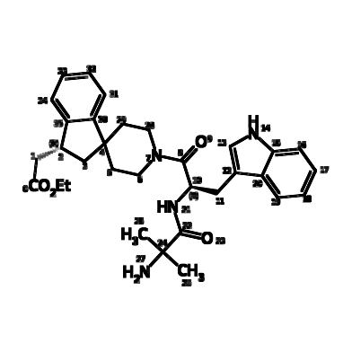 CCOC(=O)C[C@H]1CC2(CCN(C(=O)[C@@H](Cc3c[nH]c4ccccc34)NC(=O)C(C)(C)N)CC2)c2ccccc21